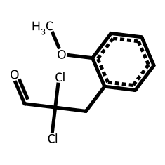 COc1ccccc1CC(Cl)(Cl)C=O